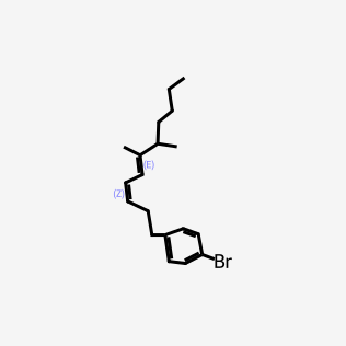 CCCCC(C)/C(C)=C/C=C\CCc1ccc(Br)cc1